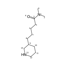 CN(C)C(=O)CCCCC1CCCNC1